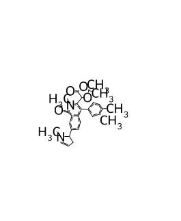 Cc1ccc(-c2c(C3OC(C)(C)OC3=O)n(C)c(=O)c3cc(C4CC=CN4C)ccc23)cc1C